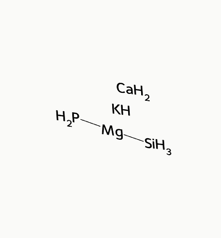 [CaH2].[KH].[SiH3][Mg][PH2]